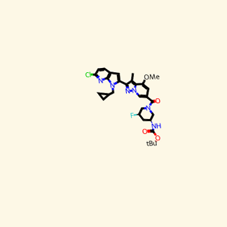 COc1cc(C(=O)N2C[C@H](F)C[C@@H](NC(=O)OC(C)(C)C)C2)cn2nc(-c3cc4ccc(Cl)nc4n3CC3CC3)c(C)c12